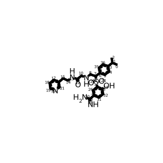 CC(C)c1ccc(C(CNCC(=O)NCCc2cccnc2)S(=O)(=O)c2cc(C(=N)N)ccc2O)cc1